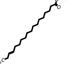 CC/C=C/CCCCCCCCCCCCCC(=O)OC